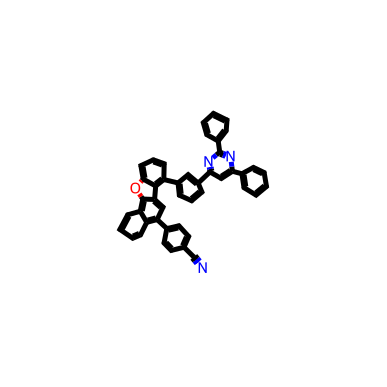 N#Cc1ccc(-c2cc3c(oc4cccc(-c5cccc(-c6cc(-c7ccccc7)nc(-c7ccccc7)n6)c5)c43)c3ccccc23)cc1